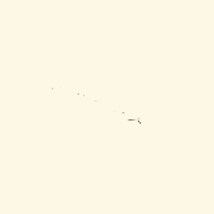 CCCCCCCOCCOCCOCCCC(=O)OCCCCCCC